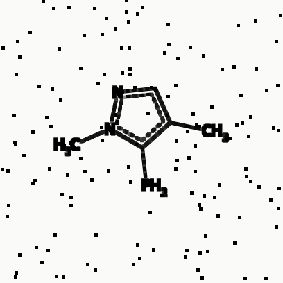 Cc1cnn(C)c1P